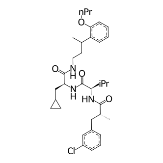 CCCOc1ccccc1C(C)CCNC(=O)[C@H](CC1CC1)NC(=O)[C@H](NC(=O)[C@H](C)Cc1cccc(Cl)c1)C(C)C